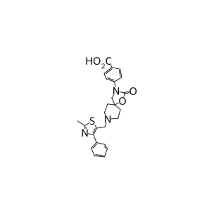 Cc1nc(-c2ccccc2)c(CN2CCC3(CC2)CN(c2ccc(C(=O)O)cc2)C(=O)O3)s1